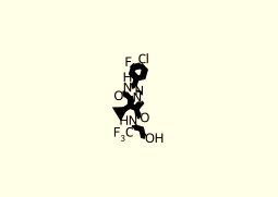 O=C(NC(CCO)C(F)(F)F)c1cn2nc(-c3ccc(Cl)c(F)c3)[nH]c(=O)c2c1C1CC1